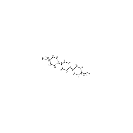 CCC[C@H]1CC[C@H]([C@H]2CC[C@H]([C@H]3CC[C@H](O)CC3)CC2)CC1